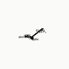 CC/C(=C\C=C1\CCOC1C)NCCCCCCCc1cc(OC)cc2oc(-c3cn(/N=C(/OC)SC)cn3)cc12